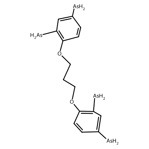 [AsH2]c1ccc(OCCCOc2ccc([AsH2])cc2[AsH2])c([AsH2])c1